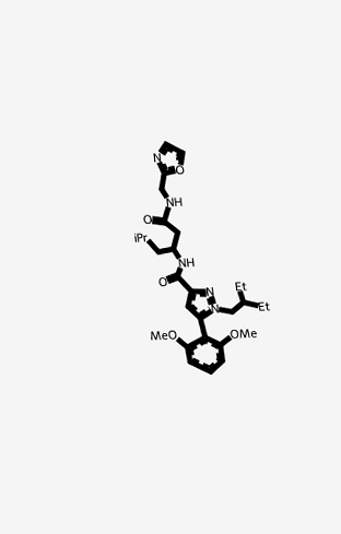 CCC(CC)Cn1nc(C(=O)NC(CC(=O)NCc2ncco2)CC(C)C)cc1-c1c(OC)cccc1OC